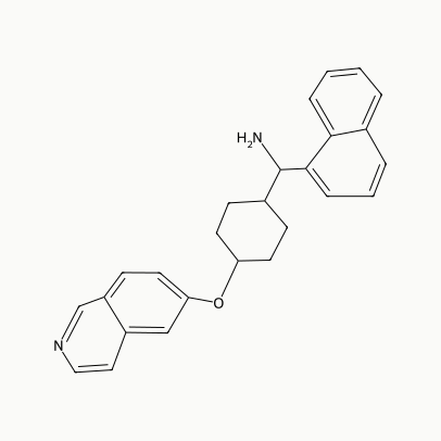 NC(c1cccc2ccccc12)C1CCC(Oc2ccc3cnccc3c2)CC1